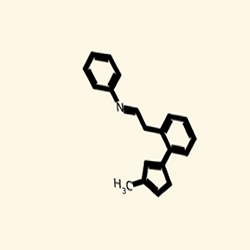 CC1=CCC(c2ccccc2CC=Nc2ccccc2)=C1